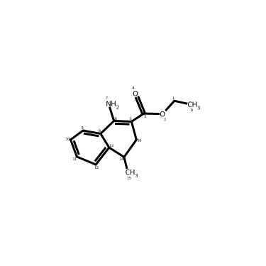 CCOC(=O)C1=C(N)c2ccccc2C(C)C1